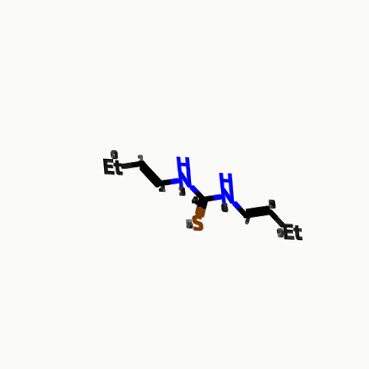 CCC=CNC(=S)NC=CCC